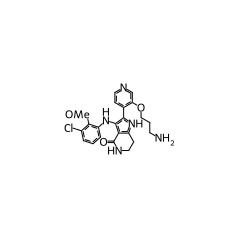 COc1c(Cl)cccc1Nc1c(-c2ccncc2OCCCN)[nH]c2c1C(=O)NCC2